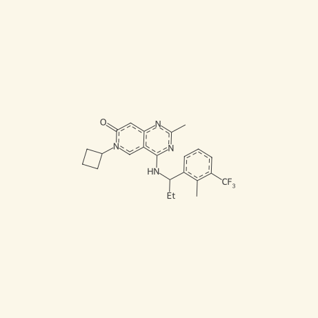 CCC(Nc1nc(C)nc2cc(=O)n(C3CCC3)cc12)c1cccc(C(F)(F)F)c1C